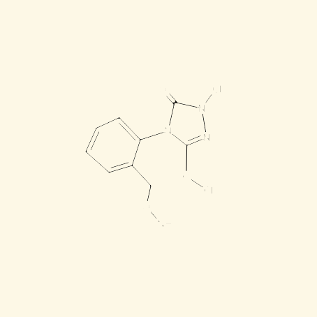 COc1nn(C)c(=O)n1-c1ccccc1CON